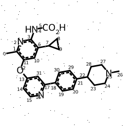 Cc1nc(NC(=O)O)c(C2CC2)cc1Oc1ccnc(-c2ccc(C3CCN(C)CC3)cc2)c1